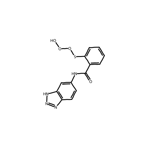 O=C(Nc1ccc2nn[nH]c2c1)c1ccccc1SOOO